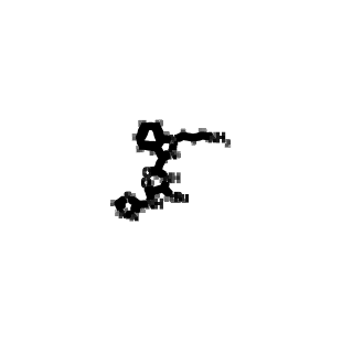 CC(C)(C)C(NC(=O)c1nn(CCCN)c2ccccc12)C(=O)Nc1nncs1